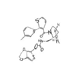 Cc1ccc(-c2sccc2C(=O)N2C[C@@H]3C[C@@H]3[C@H]2CNC(=O)Oc2scc3c2OCCO3)cc1